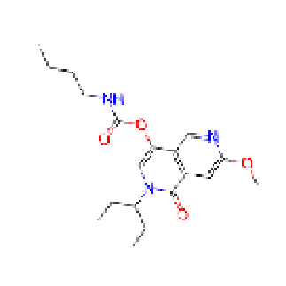 CCCCNC(=O)Oc1cn(C(CC)CC)c(=O)c2cc(OC)ncc12